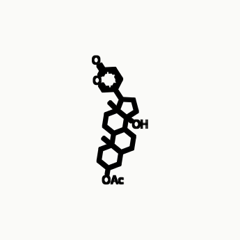 CC(=O)OC1CCC2(C)C(CCC3C2CCC2(C)C(c4ccc(=O)oc4)CCC32O)C1